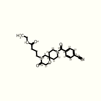 CCOC(=O)CCCN1CC2(CCN(C(=O)c3ccc(C#N)cc3)CC2)OCC1=O